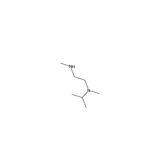 CNCCN(C)C(C)C